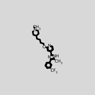 Cc1[nH]c(-c2ccnc(OCCCCC3CCN(C)CC3)c2)nc1-c1cccc(C(F)(F)F)c1